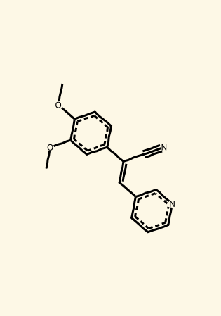 COc1ccc(C(C#N)=Cc2cccnc2)cc1OC